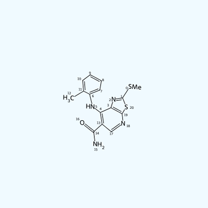 CSc1nc2c(Nc3ccccc3C)c(C(N)=O)cnc2s1